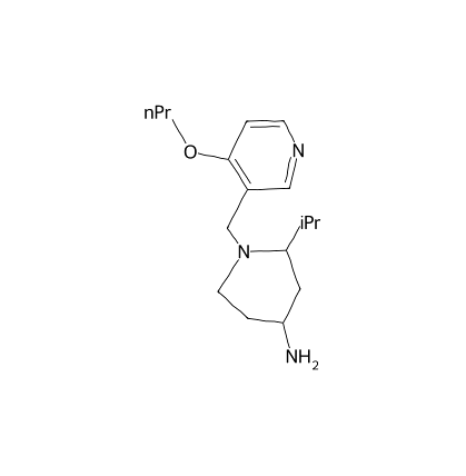 CCCOc1ccncc1CN1CCC(N)CC1C(C)C